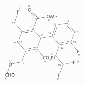 CCOC(=O)C1=C(COC=O)NC(CF)=C(C(=O)OC)C1c1cccc(F)c1CC(F)F